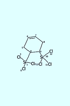 Cl[Si](Cl)(Cl)C1CC=CCC1[Si](Cl)(Cl)Cl